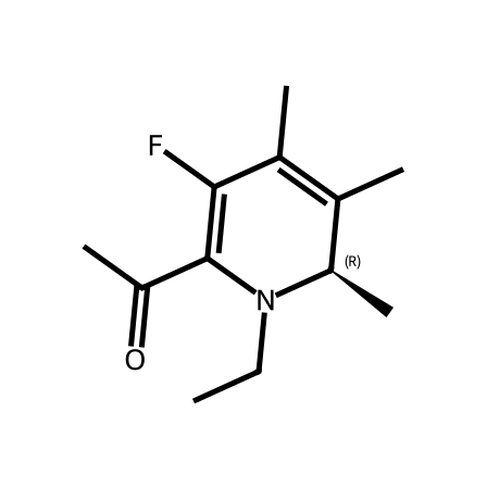 CCN1C(C(C)=O)=C(F)C(C)=C(C)[C@H]1C